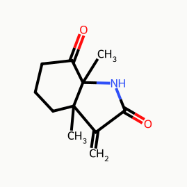 C=C1C(=O)NC2(C)C(=O)CCCC12C